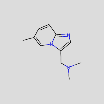 Cc1ccc2ncc(CN(C)C)n2c1